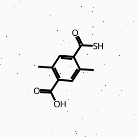 Cc1cc(C(=O)S)c(C)cc1C(=O)O